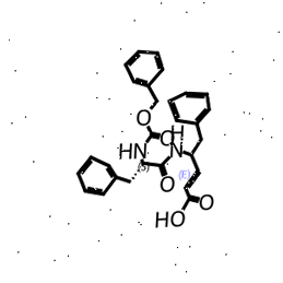 O=C(O)/C=C/C(Cc1ccccc1)NC(=O)[C@H](Cc1ccccc1)NC(=O)OCc1ccccc1